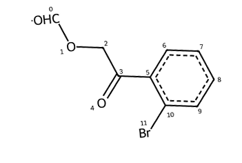 O=[C]OCC(=O)c1ccccc1Br